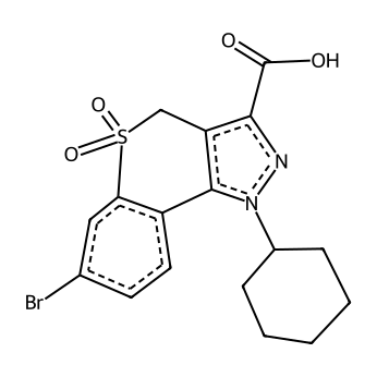 O=C(O)c1nn(C2CCCCC2)c2c1CS(=O)(=O)c1cc(Br)ccc1-2